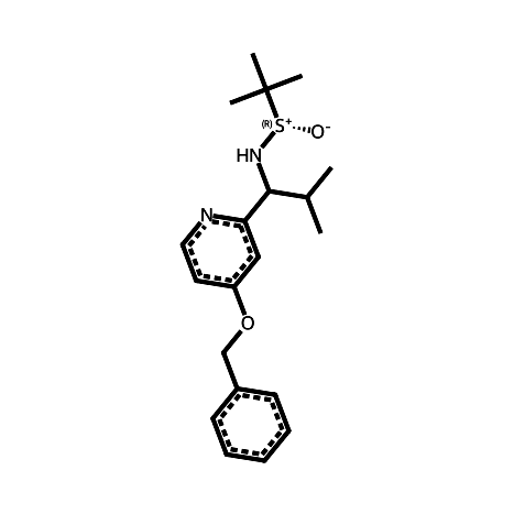 CC(C)C(N[S@@+]([O-])C(C)(C)C)c1cc(OCc2ccccc2)ccn1